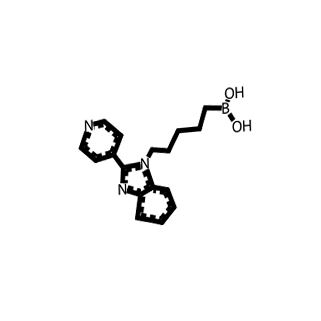 OB(O)CCCCCn1c(-c2ccncc2)nc2ccccc21